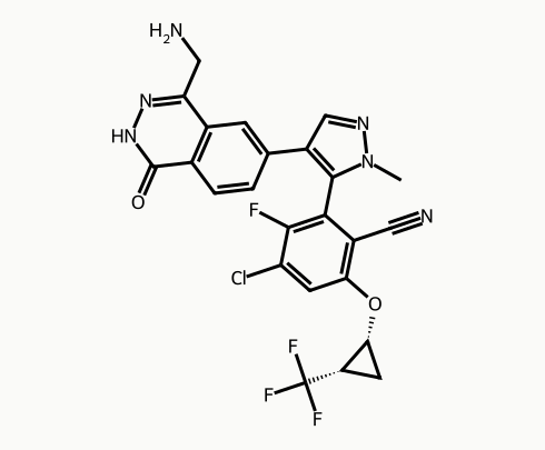 Cn1ncc(-c2ccc3c(=O)[nH]nc(CN)c3c2)c1-c1c(F)c(Cl)cc(O[C@@H]2C[C@@H]2C(F)(F)F)c1C#N